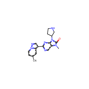 Cn1c(=O)n(C2CCNC2)c2nc(-c3cnn4ccc(C#N)cc34)ncc21